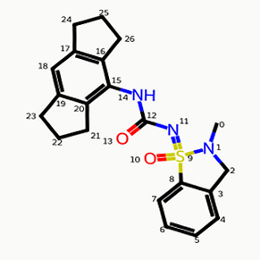 CN1Cc2ccccc2S1(=O)=NC(=O)Nc1c2c(cc3c1CCC3)CCC2